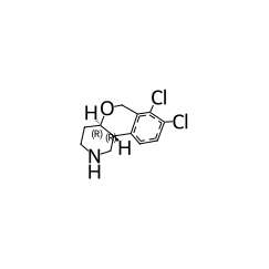 Clc1ccc2c(c1Cl)CO[C@@H]1CCNC[C@@H]21